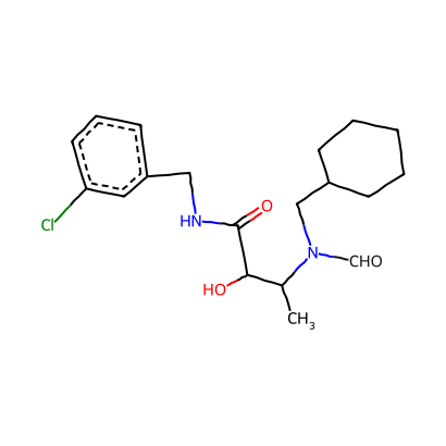 CC(C(O)C(=O)NCc1cccc(Cl)c1)N(C=O)CC1CCCCC1